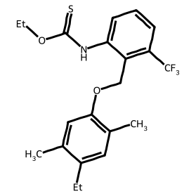 CCOC(=S)Nc1cccc(C(F)(F)F)c1COc1cc(C)c(CC)cc1C